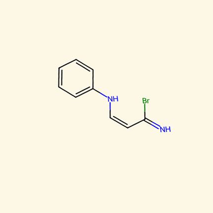 N=C(Br)/C=C\Nc1ccccc1